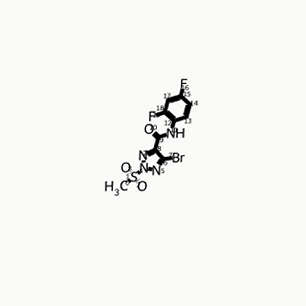 CS(=O)(=O)n1nc(Br)c(C(=O)Nc2ccc(F)cc2F)n1